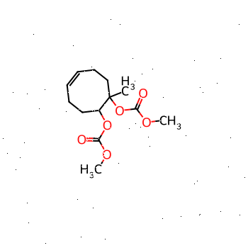 COC(=O)OC1CCC=CCCC1(C)OC(=O)OC